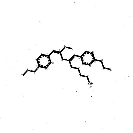 CCCc1ccc(C=C(CC)CC(=Cc2ccc(CCC)cc2)CCCCO)cc1